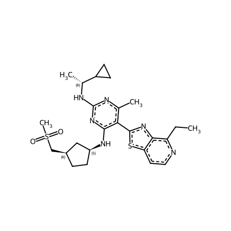 CCc1nccc2sc(-c3c(C)nc(N[C@H](C)C4CC4)nc3N[C@H]3CC[C@@H](CS(C)(=O)=O)C3)nc12